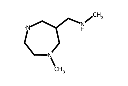 CNCC1C[N]CCN(C)C1